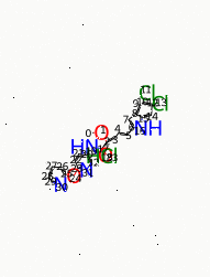 COC(=CC=Cc1cc2cc(Cl)c(Cl)cc2[nH]1)C(=O)Nc1ccc(Oc2ccccn2)nc1.Cl